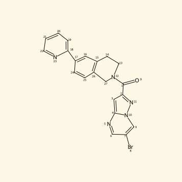 O=C(c1cc2ncc(Br)cn2n1)N1CCc2cc(-c3ccccn3)ccc2C1